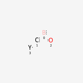 [B].[C].[O].[Y]